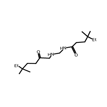 CCC(C)(C)CCC(=O)CNCNC(=O)CCC(C)(C)CC